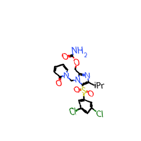 CC(C)c1nc(COC(N)=O)n(Cn2ccccc2=O)c1S(=O)(=O)c1cc(Cl)cc(Cl)c1